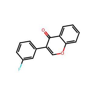 O=c1c(-c2cccc(F)c2)coc2ccccc12